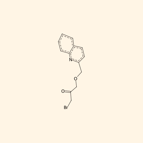 O=C(CBr)COCc1ccc2ccccc2n1